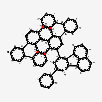 c1ccc(-c2nc(-c3cc(-c4ccccc4-c4ccccc4)c4ccc5ccc(-c6ccccc6-c6ccccc6)c6ccc3c4c56)c3c(n2)-c2cccc4cccc-3c24)cc1